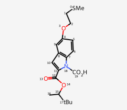 CSCCOc1ccc2c(c1)cc(C(=O)OC(C)C(C)(C)C)n2C(=O)O